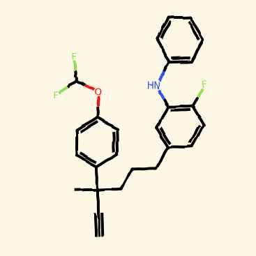 C#CC(C)(CCCc1ccc(F)c(Nc2ccccc2)c1)c1ccc(OC(F)F)cc1